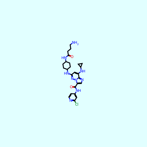 NCCCC(=O)NC1CCC(Nc2cc(NC3CC3)c3ncc(C(=O)Nc4ccnc(Cl)c4)n3n2)CC1